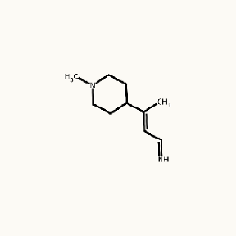 C/C(=C\C=N)C1CCN(C)CC1